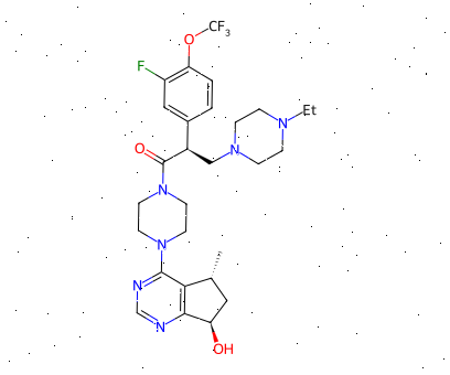 CCN1CCN(C[C@@H](C(=O)N2CCN(c3ncnc4c3[C@H](C)C[C@H]4O)CC2)c2ccc(OC(F)(F)F)c(F)c2)CC1